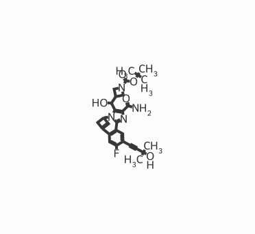 CC(C)(O)C#Cc1cc2c(cc1F)C1=CC(C1)n1c-2nc(C(N)=O)c1C(O)C1CN(C(=O)OC(C)(C)C)C1